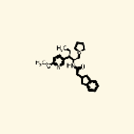 CC[C@H](c1ccc(OC)nc1)[C@@H](CN1CCCC1)NC(=O)CC1Cc2ccccc2C1